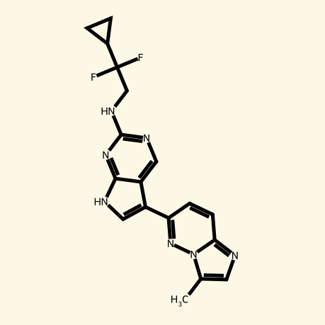 Cc1cnc2ccc(-c3c[nH]c4nc(NCC(F)(F)C5CC5)ncc34)nn12